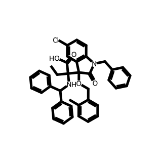 CCC(NC(c1ccccc1)c1ccccc1)(C(=O)O)C1(OCc2ccccc2C)C(=O)N(Cc2ccccc2)c2ccc(Cl)cc21